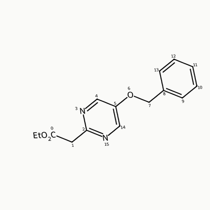 CCOC(=O)Cc1ncc(OCc2ccccc2)cn1